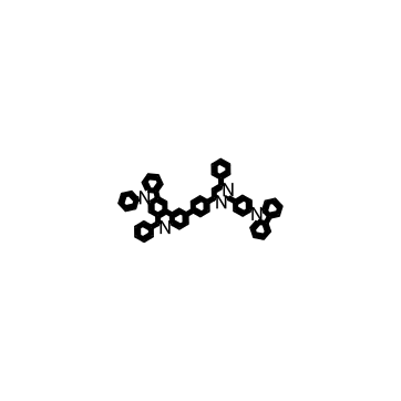 c1ccc(-c2cc(-c3ccc(-c4ccc5nc(-c6ccccc6)c6cc7c(cc6c5c4)c4ccccc4n7-c4ccccc4)cc3)nc(-c3ccc(-n4c5ccccc5c5ccccc54)cc3)n2)cc1